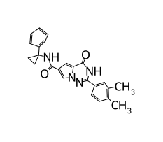 Cc1ccc(-c2nn3cc(C(=O)NC4(c5ccccc5)CC4)cc3c(=O)[nH]2)cc1C